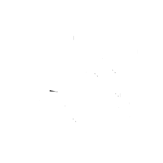 Cc1ccccc1[C@@H]1CNc2cccc(c2)S(=O)(=O)Nc2nc(cc(-c3c(C)cccc3C)n2)O1